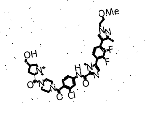 COCCn1cc(-c2ccc(-c3cnc(C(=O)Nc4ccc(C(=O)N5CCN(C(=O)[C@@H]6CC(CO)C[N+]6(C)C)CC5)c(Cl)c4)n3C)c(F)c2F)c(C)n1